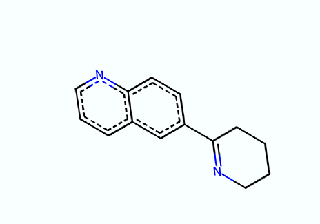 c1cnc2ccc(C3=NCCCC3)cc2c1